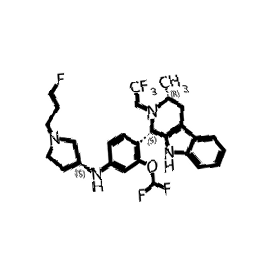 C[C@@H]1Cc2c([nH]c3ccccc23)[C@H](c2ccc(N[C@H]3CCN(CCCF)C3)cc2OC(F)F)N1CC(F)(F)F